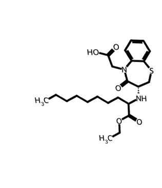 CCCCCCCCC(N[C@H]1CSc2ccccc2N(CC(=O)O)C1=O)C(=O)OCC